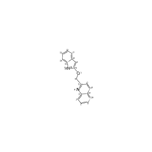 c1ccc2nc(COc3cc4ccccc4[nH]3)ccc2c1